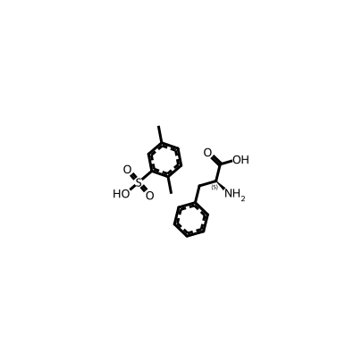 Cc1ccc(C)c(S(=O)(=O)O)c1.N[C@@H](Cc1ccccc1)C(=O)O